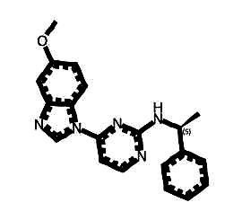 COc1ccc2c(c1)ncn2-c1ccnc(N[C@@H](C)c2ccccc2)n1